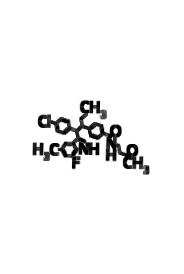 CCCC(c1ccc(C(=O)NCCC(C)=O)cc1)C(c1ccc(Cl)cc1)c1c[nH]c2c(F)cc(C)cc12